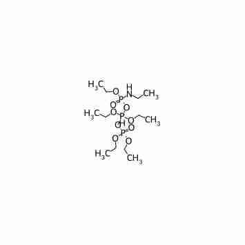 CCNP(=O)(OCC)O[PH](OCC)(OCC)OP(=O)(OCC)OCC